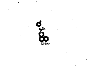 CC[C@@H](C[C@@H]1CCC(C)C1)N1CCC2(CC[C@H](NC(C)=O)c3ccccc32)CC1